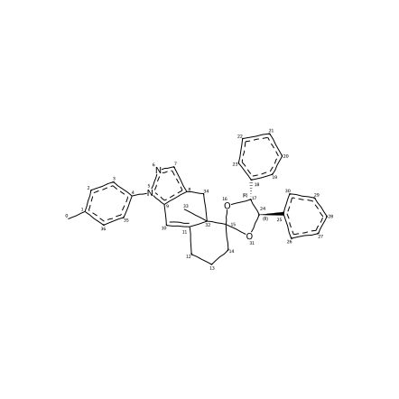 Cc1ccc(-n2ncc3c2C=C2CCCC4(O[C@H](c5ccccc5)[C@@H](c5ccccc5)O4)C2(C)C3)cc1